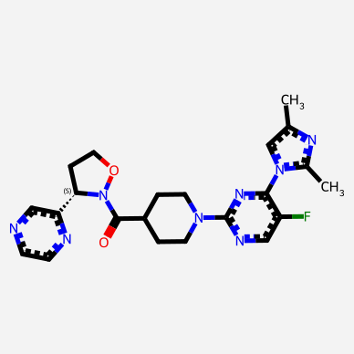 Cc1cn(-c2nc(N3CCC(C(=O)N4OCC[C@H]4c4cnccn4)CC3)ncc2F)c(C)n1